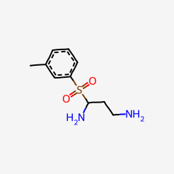 Cc1cccc(S(=O)(=O)C(N)CCN)c1